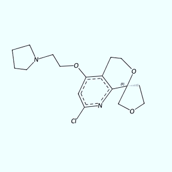 Clc1cc(OCCN2CCCC2)c2c(n1)[C@@]1(CCOC1)OCC2